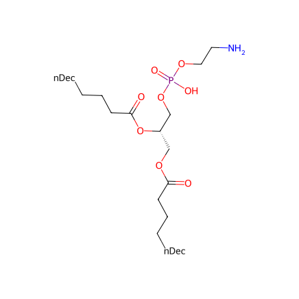 CCCCCCCCCCCCCC(=O)OC[C@@H](COP(=O)(O)OCCN)OC(=O)CCCCCCCCCCCCC